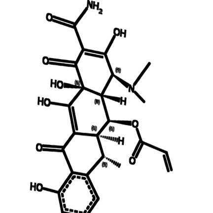 C=CC(=O)O[C@H]1[C@@H]2C(=C(O)[C@]3(O)C(=O)C(C(N)=O)=C(O)[C@@H](N(C)C)[C@H]13)C(=O)c1c(O)cccc1[C@H]2C